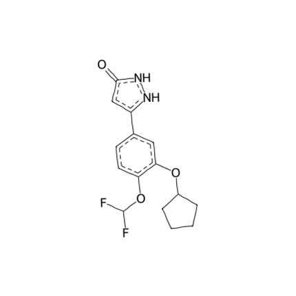 O=c1cc(-c2ccc(OC(F)F)c(OC3CCCC3)c2)[nH][nH]1